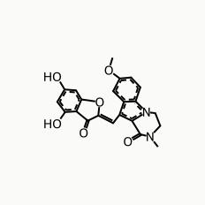 COc1ccc2c(c1)c(/C=C1\Oc3cc(O)cc(O)c3C1=O)c1n2CCN(C)C1=O